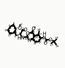 COC(=O)[C@H](Cc1ccccc1)Nc1nc2ccc(NC(=O)OC(C)(C)C)c(C)c2c(=O)o1